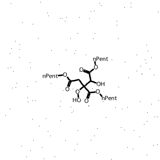 CCCCCOC(=O)CC(OO)(C(=O)OCCCCC)C(O)C(=O)OCCCCC